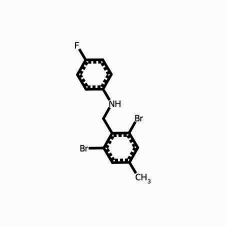 Cc1cc(Br)c(CNc2ccc(F)cc2)c(Br)c1